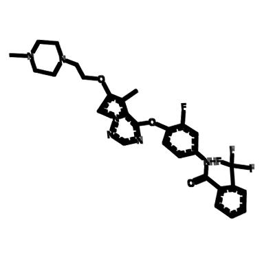 Cc1c(OCCN2CCN(C)CC2)cn2ncnc(Oc3ccc(NC(=O)c4ccccc4C(F)(F)F)cc3F)c12